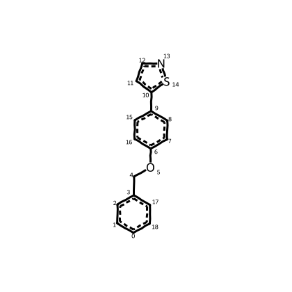 c1ccc(COc2ccc(-c3ccns3)cc2)cc1